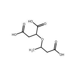 CC(CC(=O)O)OC(CC(=O)O)C(=O)O